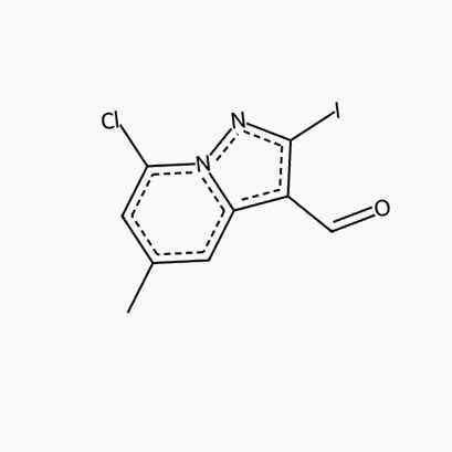 Cc1cc(Cl)n2nc(I)c(C=O)c2c1